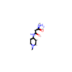 CN1CCC(NC(=O)CC(N)=O)CC1